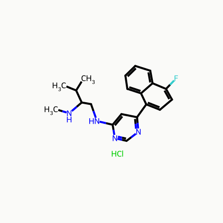 CNC(CNc1cc(-c2ccc(F)c3ccccc23)ncn1)C(C)C.Cl